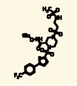 CC(C)(C)ONC(=O)[C@H]1CN(S(=O)(=O)CCNS(C)(=O)=O)CCN1S(=O)(=O)c1ccc(-c2ccc(C(F)(F)F)cc2)s1